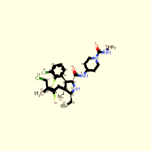 CCCNC(=O)N1CCC(NC(=O)[C@@H]2N[C@@H](CC(C)(C)C)[C@@](C#N)(CC(F)=C(C)CCl)[C@H]2c2cccc(Cl)c2F)CC1